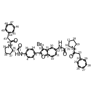 O=C(Nc1ccc(-c2oc3ccc(NC(=O)[C@@H]4CCCN4C(=O)Cc4ccccc4)cc3c2Br)cc1)[C@@H]1CCCN1C(=O)Cc1ccccc1